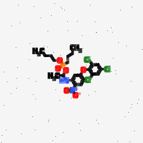 CCCCOP(=O)(CCCC)OC(C)Nc1cc(Oc2c(Cl)cc(Cl)cc2Cl)ccc1[N+](=O)[O-]